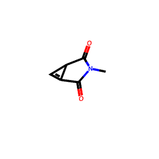 CN1C(=O)C2=CC2C1=O